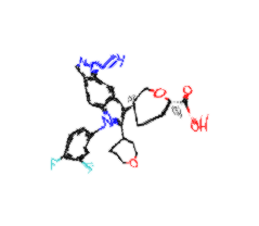 O=C(O)[C@@H]1CC[C@@H](c2c(C3CCOCC3)n(-c3ccc(F)c(F)c3)c3cc4cn[nH]c4cc23)CO1